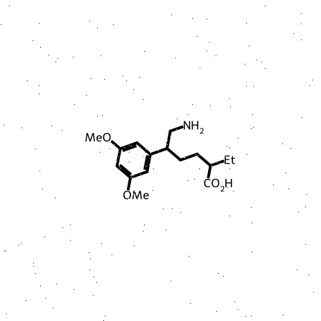 CCC(CCC(CN)c1cc(OC)cc(OC)c1)C(=O)O